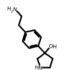 NCCc1ccc(C2(O)CCNC2)cc1